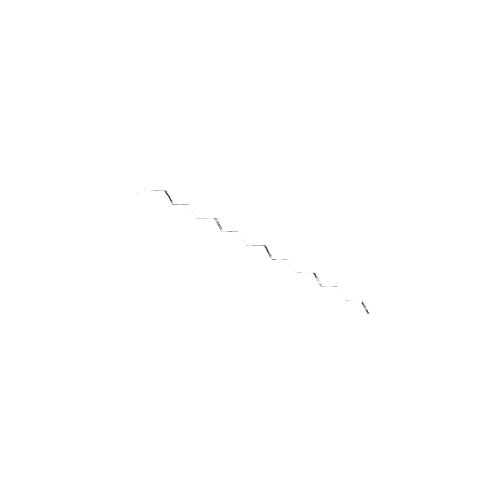 C=CCCC=CCCC=CCCC=CCCC=CCCC